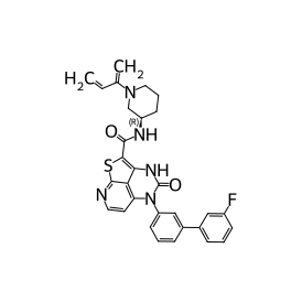 C=CC(=C)N1CCC[C@@H](NC(=O)c2sc3nccc4c3c2NC(=O)N4c2cccc(-c3cccc(F)c3)c2)C1